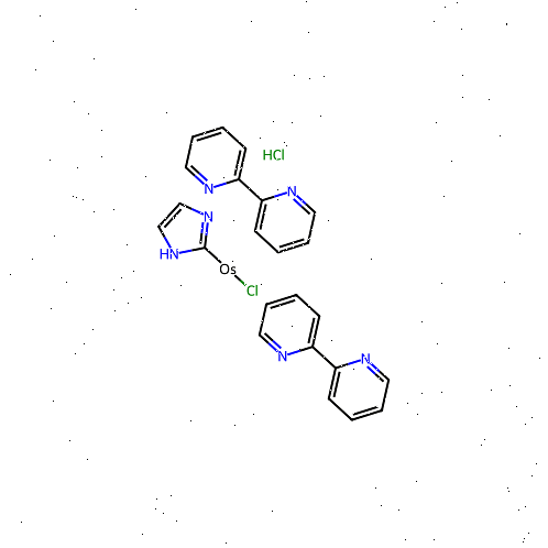 Cl.[Cl][Os][c]1ncc[nH]1.c1ccc(-c2ccccn2)nc1.c1ccc(-c2ccccn2)nc1